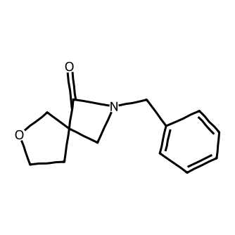 O=C1N(Cc2ccccc2)CC12CCOC2